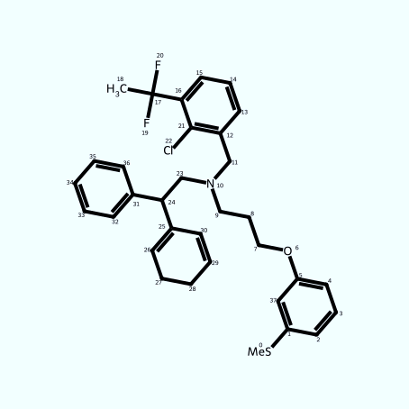 CSc1cccc(OCCCN(Cc2cccc(C(C)(F)F)c2Cl)CC(C2=CCCC=C2)c2ccccc2)c1